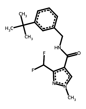 Cn1cc(C(=O)NCc2cccc(C(C)(C)C)c2)c(C(F)F)n1